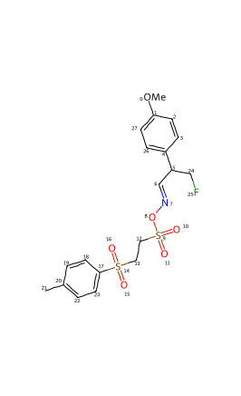 COc1ccc(C(C=NOS(=O)(=O)CCS(=O)(=O)c2ccc(C)cc2)CF)cc1